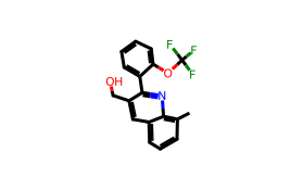 Cc1cccc2cc(CO)c(-c3ccccc3OC(F)(F)F)nc12